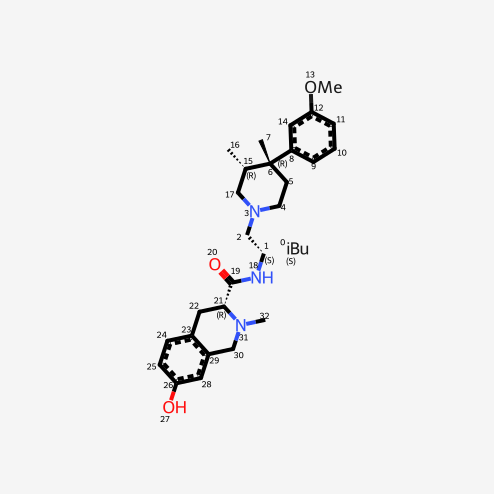 CC[C@H](C)[C@@H](CN1CC[C@@](C)(c2cccc(OC)c2)[C@@H](C)C1)NC(=O)[C@H]1Cc2ccc(O)cc2CN1C